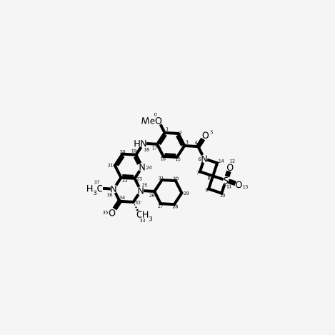 COc1cc(C(=O)N2CC3(CCS3(=O)=O)C2)ccc1Nc1ccc2c(n1)N(C1CCCCC1)[C@H](C)C(=O)N2C